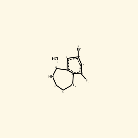 Cl.Fc1cc(Br)cc2c1OCCNC2